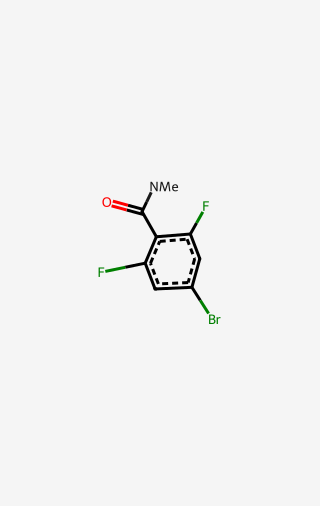 CNC(=O)c1c(F)cc(Br)cc1F